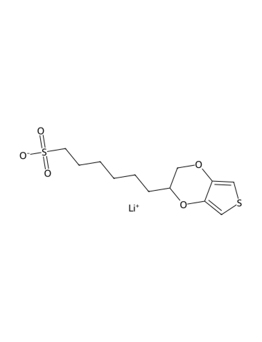 O=S(=O)([O-])CCCCCCC1COc2cscc2O1.[Li+]